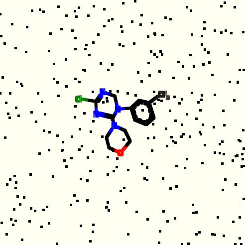 FC(F)(F)c1cccc(N2CN=C(Cl)N=C2N2CCOCC2)c1